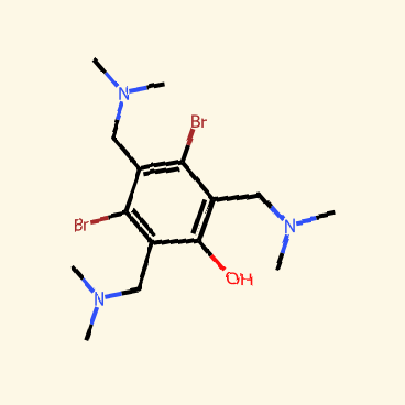 CN(C)Cc1c(O)c(CN(C)C)c(Br)c(CN(C)C)c1Br